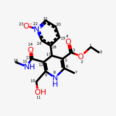 CCOC(=O)C1=C(C)NC(CO)=C(C(=O)NC)C1c1ccc[n+]([O-])c1